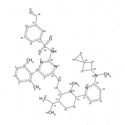 Cc1cccc(C)c1-c1cc(OCC2C(C(C)C)CCC(c3cccc(N(C)C4CC5(CC5)C4)n3)N2C)nc(NS(=O)(=O)c2cccc(C=O)c2)n1